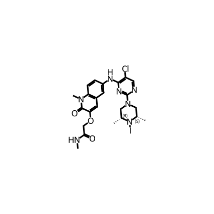 CNC(=O)COc1cc2cc(Nc3nc(N4C[C@@H](C)N(I)[C@@H](C)C4)ncc3Cl)ccc2n(C)c1=O